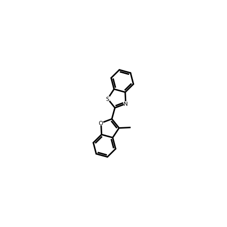 Cc1c(-c2nc3ccccc3s2)oc2ccccc12